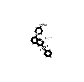 CNC1CCN(c2cccc3cc(S(=O)(=O)c4ccccc4)cnc23)CC1.Cl